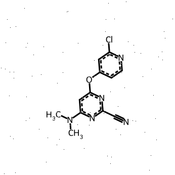 CN(C)c1cc(Oc2ccnc(Cl)c2)nc(C#N)n1